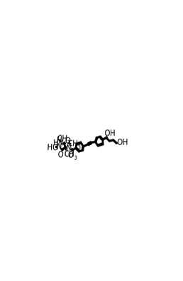 CNC(=O)C(C)(C(=O)NO)N(C)C(=O)c1ccc(C#Cc2ccc(C(O)CCCO)cc2)cc1